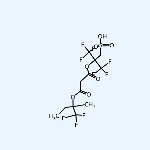 CCC(C)(OC(=O)CC(=O)OC(CS(=O)(=O)O)(C(F)(F)F)C(F)(F)F)C(F)(F)F